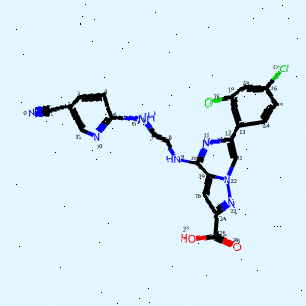 N#Cc1ccc(NCCNc2nc(-c3ccc(Cl)cc3Cl)cn3nc(C(=O)O)cc23)nc1